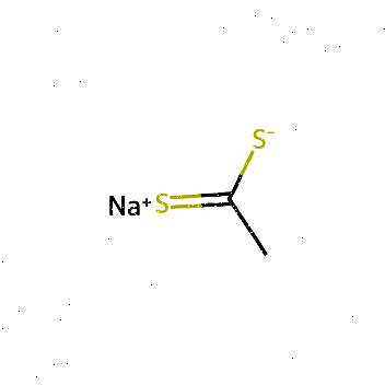 CC(=S)[S-].[Na+]